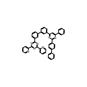 c1ccc(-c2ccc(-c3nc(-c4ccccc4)cc(-c4cccc(-c5cccc(-c6nc(-c7ccccn7)nc(-c7ccccn7)n6)c5)c4)n3)cc2)cc1